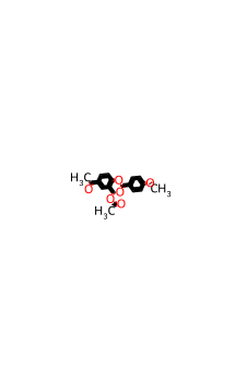 COc1ccc(C(=O)Oc2ccc(C(C)=O)cc2COC(C)=O)cc1